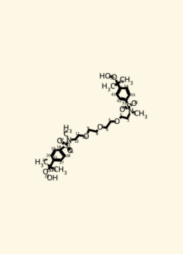 CN(CCOCCOCCOCCN(C)S(=O)(=O)c1ccc(C(C)(C)OO)cc1)S(=O)(=O)c1ccc(C(C)(C)OO)cc1